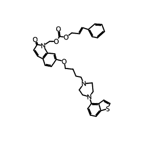 O=C(OC/C=C/c1ccccc1)OCn1c(=O)ccc2ccc(OCCCCN3CCN(c4cccc5sccc45)CC3)cc21